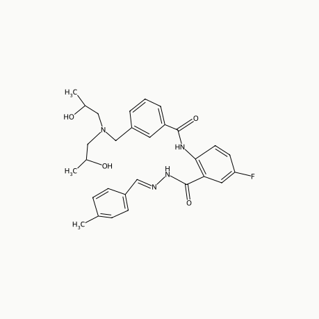 Cc1ccc(/C=N/NC(=O)c2cc(F)ccc2NC(=O)c2cccc(CN(CC(C)O)CC(C)O)c2)cc1